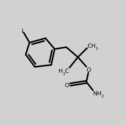 CC(C)(Cc1cccc(I)c1)OC(N)=O